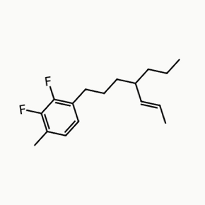 C/C=C/C(CCC)CCCc1ccc(C)c(F)c1F